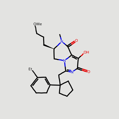 CCC1=CCCC(C2(Cc3nc(=O)c(O)c4n3C[C@@H](CCCOC)N(C)C4=O)CCCC2)=C1